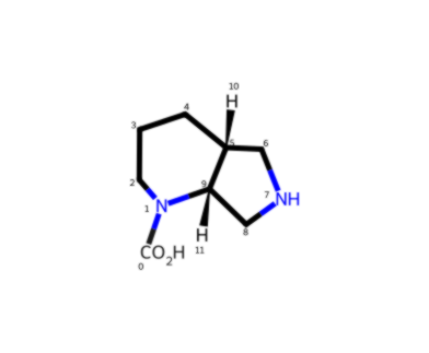 O=C(O)N1CCC[C@@H]2CNC[C@@H]21